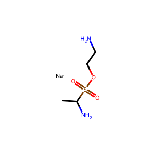 CC(N)S(=O)(=O)OCCN.[Na]